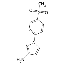 CS(=O)(=O)c1ccc(-n2ccc(N)n2)cc1